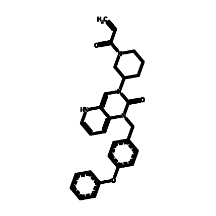 C=CC(=O)N1CCCC(N2C=C3NC=CC=C3N(Cc3ccc(Oc4ccccc4)cc3)C2=O)C1